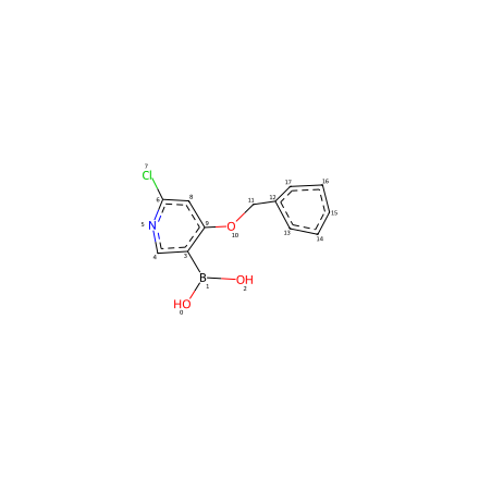 OB(O)c1cnc(Cl)cc1OCc1ccccc1